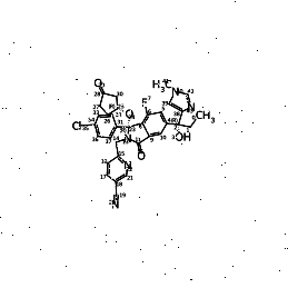 CC[C@@](O)(c1cc(F)c2c(c1)C(=O)N(Cc1ccc(C#N)cn1)[C@@]2(O[C@@H]1CCC(=O)C1)c1ccc(Cl)cc1)c1cn(C)cn1